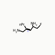 CCC/C(=C\C(N)CF)CN